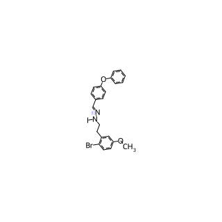 COc1ccc(Br)c(CCN(I)/N=C/c2ccc(Oc3ccccc3)cc2)c1